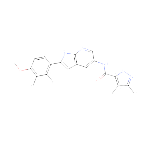 COc1ccc(-c2cc3cc(NC(=O)c4[nH]nc(C)c4C)cnc3[nH]2)c(C)c1C